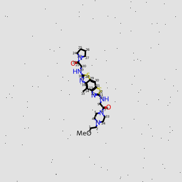 COCCN1CCN(C(=O)CNc2nc3c(C)c4nc(NCC(=O)N5CCCC5)sc4cc3s2)CC1